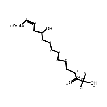 CCCCC/C=C\CC(O)CCCCCCCCC(=O)C(C)(C)O